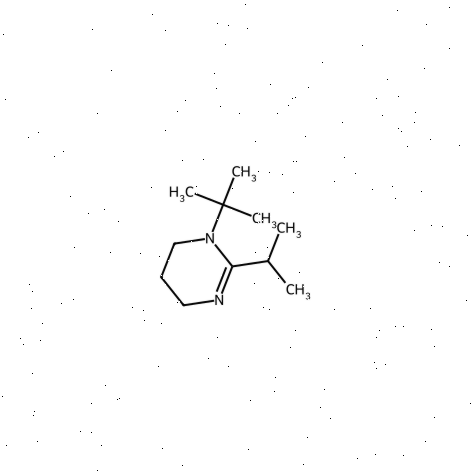 CC(C)C1=NCCCN1C(C)(C)C